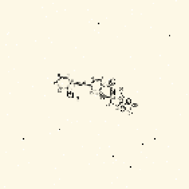 O=c1c2ccc(C#Cc3ccccc3C(F)(F)F)cc2nc2n1CCC1(CC2)OCCO1